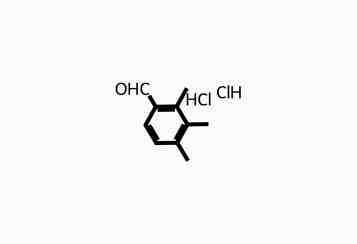 Cc1ccc(C=O)c(C)c1C.Cl.Cl